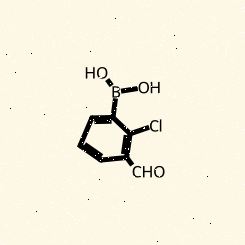 O=Cc1cccc(B(O)O)c1Cl